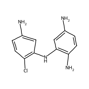 Nc1ccc(N)c(Nc2cc(N)ccc2Cl)c1